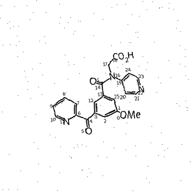 COc1cc(C(=O)c2ccccn2)cc(C(=O)N(CC(=O)O)c2ccncc2)c1